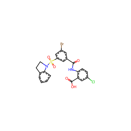 O=C(Nc1ccc(Cl)cc1C(=O)O)c1cc(Br)cc(S(=O)(=O)N2CCc3ccccc32)c1